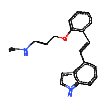 CC(C)(C)NCCCOc1ccccc1C=Cc1cccc2[nH]ccc12